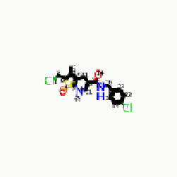 Cc1c2c([s+]([O-])c1CCl)N(C)C=C(C(=O)NCc1ccc(Cl)cc1)C2